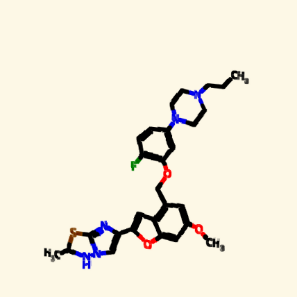 CCCN1CCN(c2ccc(F)c(OCc3cc(OC)cc4oc(-c5cn6c(n5)SC(C)N6)cc34)c2)CC1